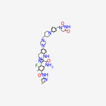 Cc1c(C(=O)Nc2cscn2)ccc(-c2nn3c(c2C(N)=O)Nc2ccc(N4CCN(CC5CCN(c6ccc(CN7CCC(=O)NC7=O)cc6)CC5)CC4)cc2CC3)c1F